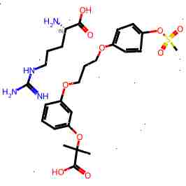 CC(C)(Oc1cccc(OCCCOc2ccc(OS(C)(=O)=O)cc2)c1)C(=O)O.N=C(N)NCCC[C@H](N)C(=O)O